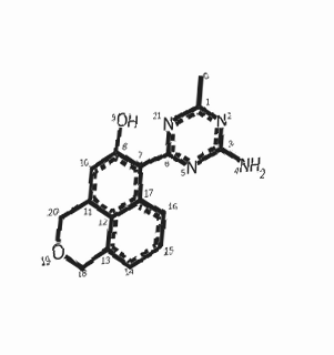 Cc1nc(N)nc(-c2c(O)cc3c4c(cccc24)COC3)n1